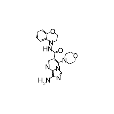 Nc1ncn2c(N3CCOCC3)c(C(=O)NN3CCOc4ccccc43)cnc12